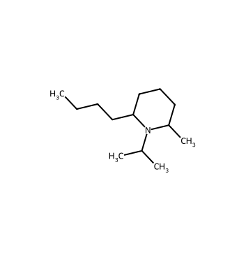 CCCCC1CCCC(C)N1C(C)C